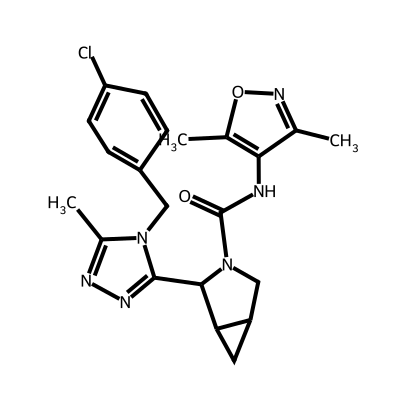 Cc1noc(C)c1NC(=O)N1CC2CC2C1c1nnc(C)n1Cc1ccc(Cl)cc1